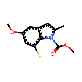 COC(=O)n1c(C)cc2cc(OC)cc(F)c21